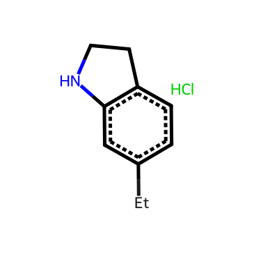 CCc1ccc2c(c1)NCC2.Cl